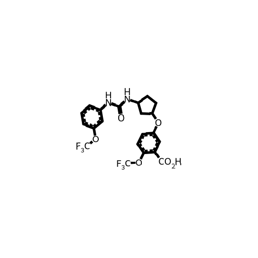 O=C(Nc1cccc(OC(F)(F)F)c1)NC1CCC(Oc2ccc(OC(F)(F)F)c(C(=O)O)c2)C1